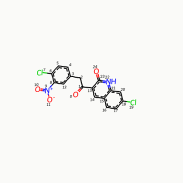 O=C(Cc1ccc(Cl)c([N+](=O)[O-])c1)c1cc2ccc(Cl)cc2[nH]c1=O